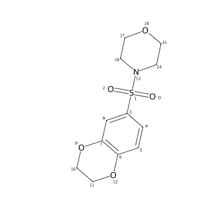 O=S(=O)(c1ccc2c(c1)OCCO2)N1CCOCC1